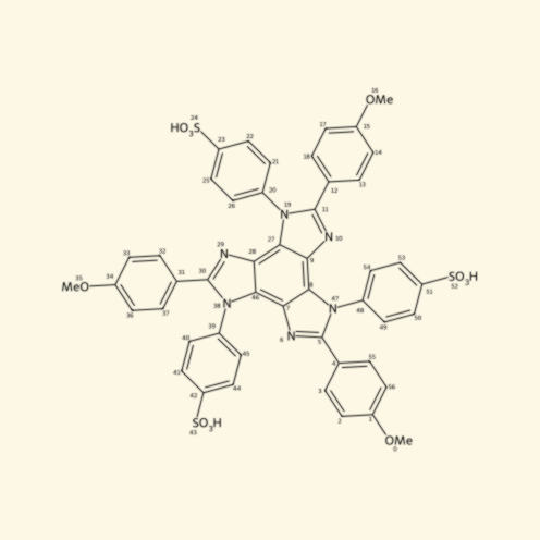 COc1ccc(-c2nc3c(c4nc(-c5ccc(OC)cc5)n(-c5ccc(S(=O)(=O)O)cc5)c4c4nc(-c5ccc(OC)cc5)n(-c5ccc(S(=O)(=O)O)cc5)c34)n2-c2ccc(S(=O)(=O)O)cc2)cc1